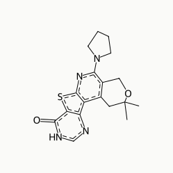 CC1(C)Cc2c(c(N3CCCC3)nc3sc4c(=O)[nH]cnc4c23)CO1